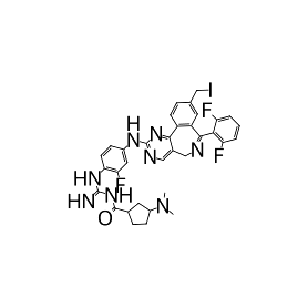 CN(C)C1CCC(C(=O)NC(=N)Nc2ccc(Nc3ncc4c(n3)-c3ccc(CI)cc3C(c3c(F)cccc3F)=NC4)cc2F)C1